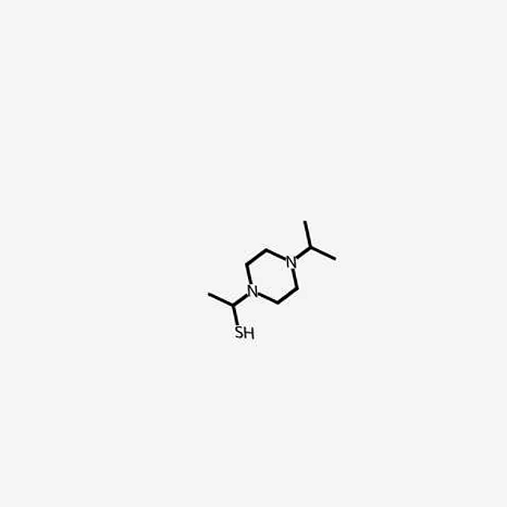 CC(C)N1CCN(C(C)S)CC1